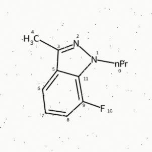 CCCn1nc(C)c2cccc(F)c21